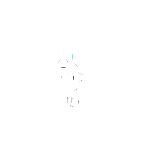 O=c1c2cc(C=Cc3ccc4c(n3)CCCC4)ccc2ccc2c(C(F)(F)F)cccc12